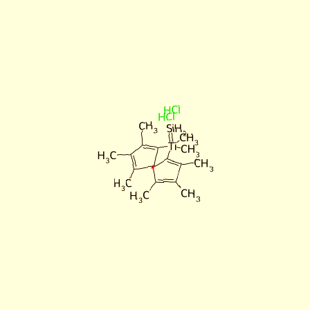 CC1=C(C)C(C)=[C]([Ti]([CH3])([CH3])(=[SiH2])[C]2=C(C)C(C)=C(C)C2)C1.Cl.Cl